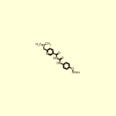 CCCCCCOc1ccc(NC(=S)NC(=O)c2ccc(CN(C)C)nc2)cc1